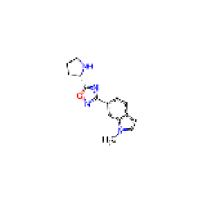 Cn1ccc2ccc(-c3noc([C@@H]4CCCN4)n3)cc21